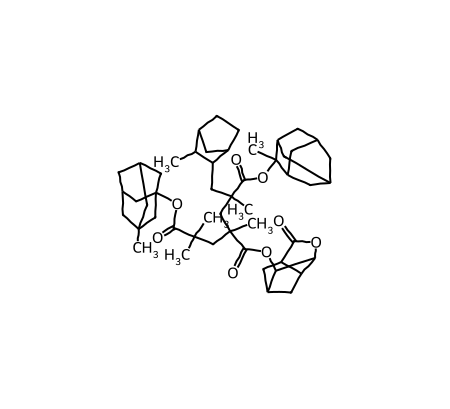 CC1C2CCC(C2)C1CC(C)(CC(C)(CC(C)(C)C(=O)OC12CC3CC(CC(C)(C3)C1)C2)C(=O)OC1C2CC3C(=O)OC1C3C2)C(=O)OC1(C)C2CC3CC(C2)CC1C3